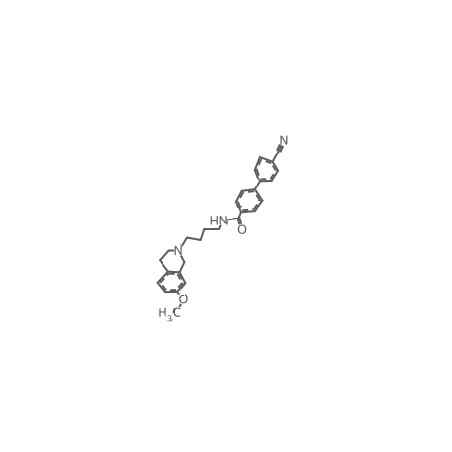 COc1ccc2c(c1)CN(CCCCNC(=O)c1ccc(-c3ccc(C#N)cc3)cc1)CC2